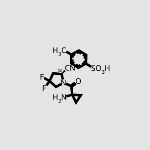 Cc1ccc(S(=O)(=O)O)cc1.N#C[C@@H]1CC(F)(F)CN1C(=O)C1(N)CC1